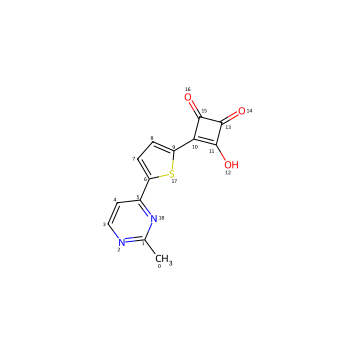 Cc1nccc(-c2ccc(-c3c(O)c(=O)c3=O)s2)n1